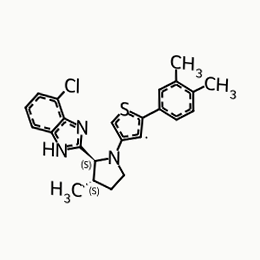 Cc1ccc(-c2[c]c(N3CC[C@H](C)[C@H]3c3nc4c(Cl)cccc4[nH]3)cs2)cc1C